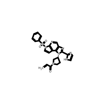 C=CC(=O)N1CC[C@@H](n2c(-c3ncc[nH]3)nc3cnc4c(ccn4S(=O)(=O)c4ccccc4)c32)C1